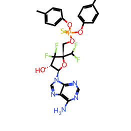 Cc1ccc(OP(=S)(OC[C@@]2(C(F)F)O[C@@H](n3cnc4c(N)ncnc43)[C@H](O)C2(F)F)Oc2ccc(C)cc2)cc1